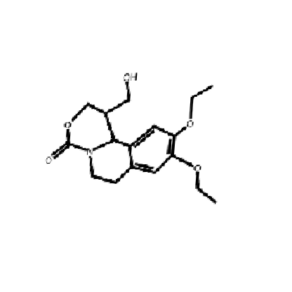 CCOc1cc2c(cc1OCC)C1C(CO)COC(=O)N1CC2